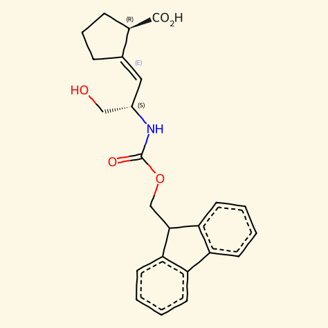 O=C(N[C@@H](/C=C1\CCC[C@H]1C(=O)O)CO)OCC1c2ccccc2-c2ccccc21